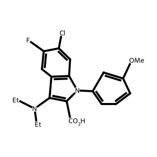 CCN(CC)c1c(C(=O)O)n(-c2cccc(OC)c2)c2cc(Cl)c(F)cc12